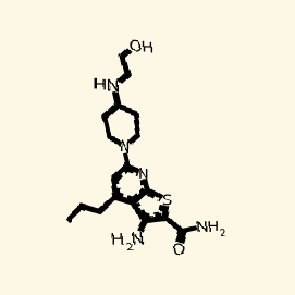 CCCc1cc(N2CCC(NCCO)CC2)nc2sc(C(N)=O)c(N)c12